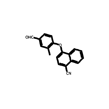 Cc1cc(C=O)ccc1Oc1ccc(C#N)c2ccccc12